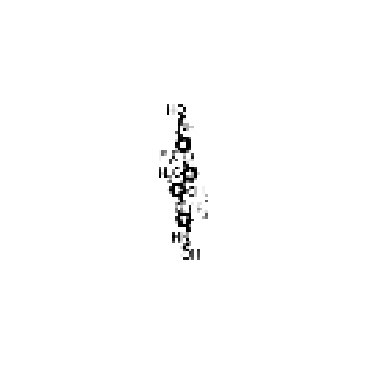 Cc1c(COc2ccc(CNCCO)cc2C(F)(F)F)cccc1-c1cccc(COc2ccc(CNCCO)cc2C(F)(F)F)c1C